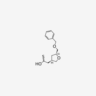 OC(=S)C[C@@H]1CO[C@H](COCc2ccccc2)C1